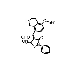 CCCOc1ccc(/C=C2/C(=O)NN(c3ccccc3)C2=O)c2c1CCNC2.O=CO